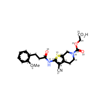 COc1ccccc1CCC(=O)Nc1sc2c(c1C#N)CCN(C(=O)OCC(=O)O)C2